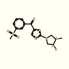 C[C@@H]1CN(c2ncc(C(=O)c3cccc(S(C)(=O)=O)c3)s2)C[C@@H]1F